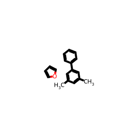 Cc1cc(C)cc(-c2ccccc2)c1.c1ccoc1